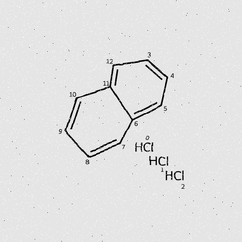 Cl.Cl.Cl.c1ccc2ccccc2c1